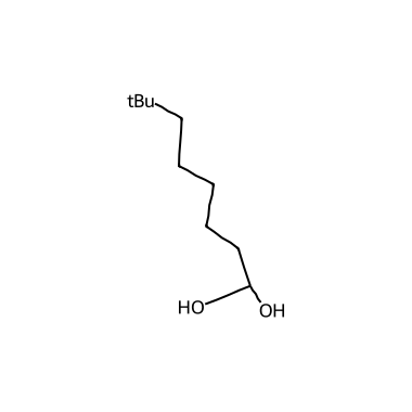 CC(C)(C)CCCCCC(O)O